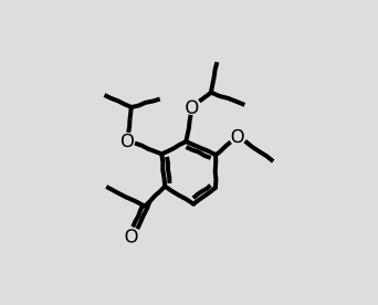 COc1ccc(C(C)=O)c(OC(C)C)c1OC(C)C